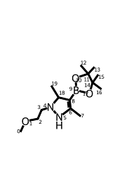 COCCN1NC(C)=C(B2OC(C)(C)C(C)(C)O2)C1C